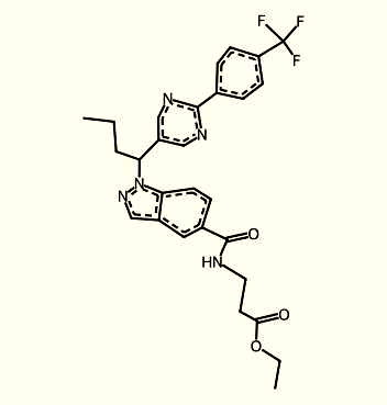 CCCC(c1cnc(-c2ccc(C(F)(F)F)cc2)nc1)n1ncc2cc(C(=O)NCCC(=O)OCC)ccc21